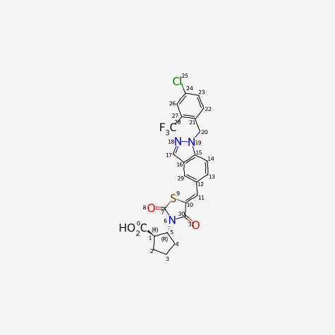 O=C(O)[C@@H]1CCC[C@H]1N1C(=O)SC(=Cc2ccc3c(cnn3Cc3ccc(Cl)cc3C(F)(F)F)c2)C1=O